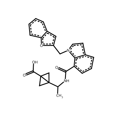 CC(NC(=O)c1cccc2ccn(Cc3cc4ccccc4o3)c12)C12CC1(C(=O)O)C2